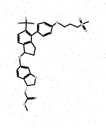 COC(=O)C[C@H]1COc2cc(OC3CCc4c3ccc(C(F)(F)F)c4-c3ccc(OCCCS(C)(=O)=O)cc3)ccc21